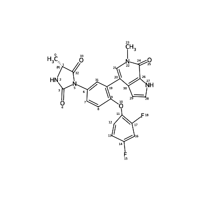 C[C@H]1NC(=O)N(c2ccc(Oc3ccc(F)cc3F)c(-c3cn(C)c(=O)c4[nH]ccc34)c2)C1=O